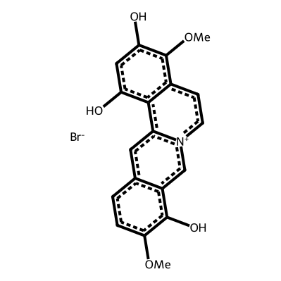 COc1ccc2cc3c4c(O)cc(O)c(OC)c4cc[n+]3cc2c1O.[Br-]